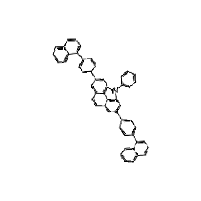 c1ccc(-n2c3cc(-c4ccc(-c5cccc6ccccc56)cc4)cc4ccc5cc(-c6ccc(-c7cccc8ccccc78)cc6)cc2c5c43)cc1